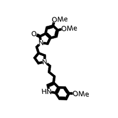 COc1ccc2[nH]cc(CCCN3CCC(CN4Cc5cc(OC)c(OC)cc5C4=O)C3)c2c1